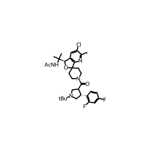 CC(=O)NC(C)(C)[C@@H]1OC2(CCN(C(=O)C3CN(C(C)(C)C)C[C@H]3c3ccc(F)cc3F)CC2)c2nc(C)c(Cl)cc21